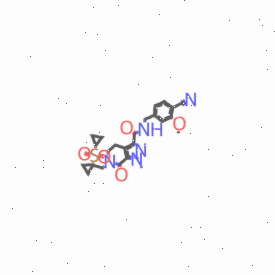 COc1cc(CNC(=O)c2nn(C)c3c2CCN(CC2(S(=O)(=O)C4CC4)CC2)C3=O)ccc1C#N